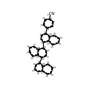 N#Cc1ccc(-c2ccc(-c3ccc(-c4cccc5ccccc45)c4ccccc34)c3ccccc23)cc1